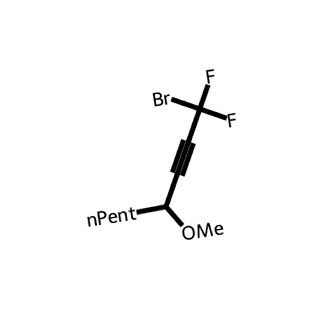 CCCCCC(C#CC(F)(F)Br)OC